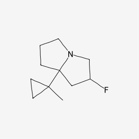 CC1(C23CCCN2CC(F)C3)CC1